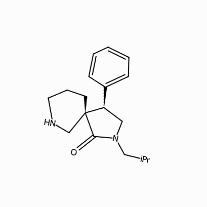 CC(C)CN1C[C@H](c2ccccc2)[C@]2(CCCNC2)C1=O